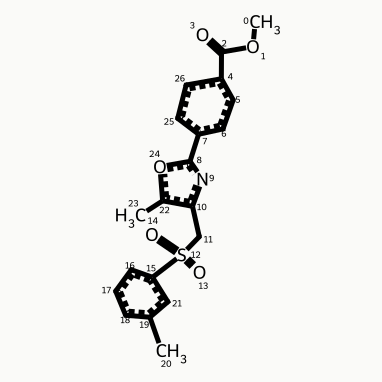 COC(=O)c1ccc(-c2nc(CS(=O)(=O)c3cccc(C)c3)c(C)o2)cc1